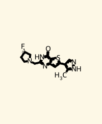 Cc1[nH]ncc1-c1cc2nc(CN3CC[C@H](F)C3)[nH]c(=O)c2s1